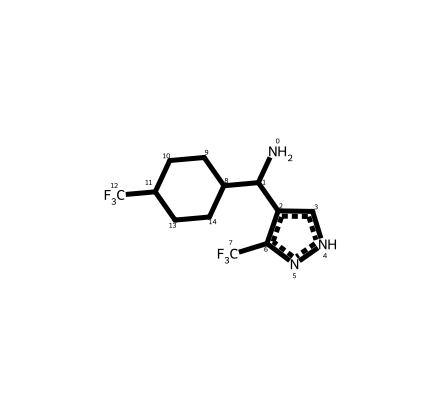 NC(c1c[nH]nc1C(F)(F)F)C1CCC(C(F)(F)F)CC1